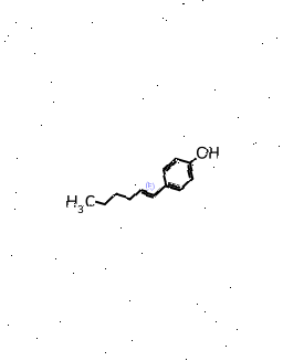 CCCC/C=C/c1ccc(O)cc1